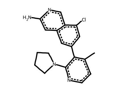 Cc1ccnc(N2CCCC2)c1-c1cc(Cl)c2cnc(N)cc2c1